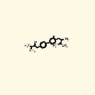 C=C(C)C(=C)Cc1ccc(-c2ccc(CC(=O)C(=C)C)cc2)cc1F